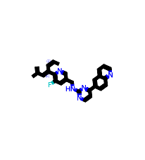 C=C(C)/C=C(\C=C/C)c1ncc(CNc2nccc(-c3ccc4ncccc4c3)n2)cc1F